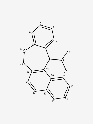 CC(C)C1c2ccccc2SCc2ccc3ccccc3c21